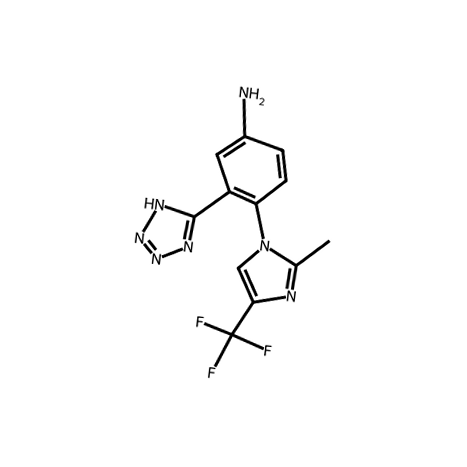 Cc1nc(C(F)(F)F)cn1-c1ccc(N)cc1-c1nnn[nH]1